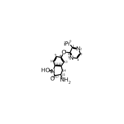 CC(C)c1nccnc1Oc1ccc2c(c1)CC(N)C(=O)N2O